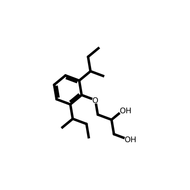 CCC(C)c1cccc(C(C)CC)c1OCC(O)CO